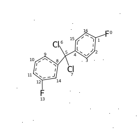 Fc1ccc(C(Cl)(Cl)c2cccc(F)c2)cc1